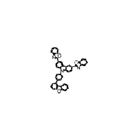 c1ccc2oc(-c3ccc4c(c3)c3cc(-c5nc6ccccc6o5)ccc3n4-c3ccc(-c4cccc5oc6ccccc6c45)cc3)nc2c1